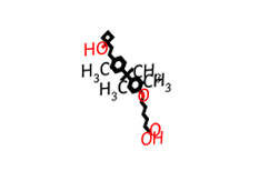 CCC(CC)(c1ccc(CCC2(O)CCC2)c(C)c1)c1ccc(OCCCCCC(=O)O)c(C)c1